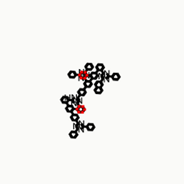 c1ccc(C2=NC(c3ccc(-c4ccc(-c5ccc(-c6ccccc6-c6nc(-c7ccccc7)nc(-c7ccc8ccccc8c7)n6)cc5-c5ccccc5)c(-c5nc(-c6ccccc6)nc(-c6ccccc6)n5)c4)cc3)NC(c3ccccc3-c3ccc(-c4ccc(-c5nc(-c6ccccc6)nc(-c6ccccc6)n5)cc4)c(-c4ccccc4)c3)=N2)cc1